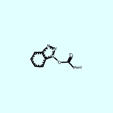 CCCC(C)C(=O)On1nnc2ccccc21